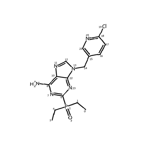 CCP(=O)(CC)c1nc(N)c2ncn(Cc3ccc(Cl)nc3)c2n1